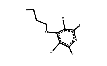 CCCCOc1c(F)c(F)nc(F)c1Cl